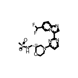 CS(=O)(=O)NC[C@@H]1CN(c2ccnc(-c3cnc4ccc(C(F)F)cn34)n2)CCO1